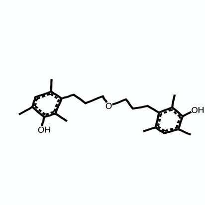 Cc1cc(C)c(CCCOCCCc2c(C)cc(C)c(O)c2C)c(C)c1O